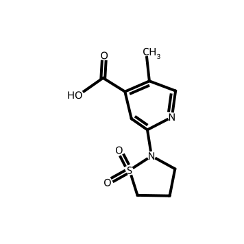 Cc1cnc(N2CCCS2(=O)=O)cc1C(=O)O